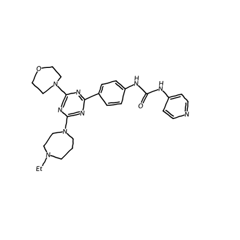 CCN1CCCN(c2nc(-c3ccc(NC(=O)Nc4ccncc4)cc3)nc(N3CCOCC3)n2)CC1